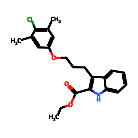 CCOC(=O)c1[nH]c2ccccc2c1CCCOc1cc(C)c(Cl)c(C)c1